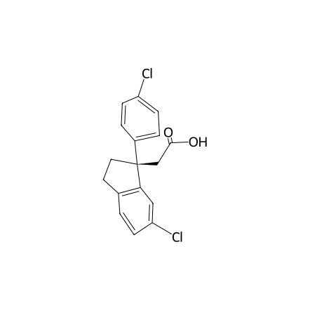 O=C(O)C[C@]1(c2ccc(Cl)cc2)CCc2ccc(Cl)cc21